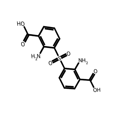 Nc1c(C(=O)O)cccc1S(=O)(=O)c1cccc(C(=O)O)c1N